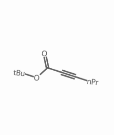 CCCC#CC(=O)OC(C)(C)C